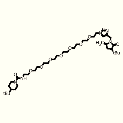 C=C1CC(C(C)(C)C)C(=O)N1Cc1cn(CCOCCOCCOCCOCCOCCOCCOCCNC(=O)N2CCC(C(C)(C)C)CC2)nn1